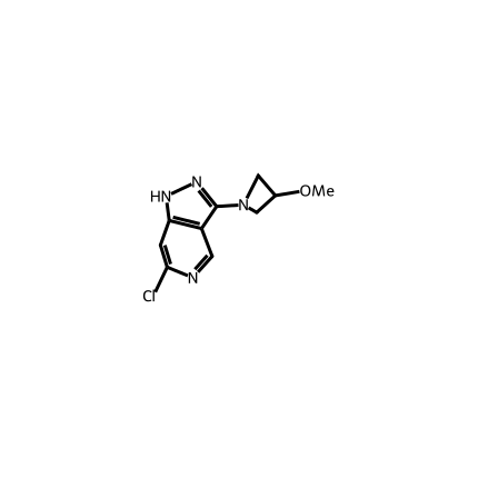 COC1CN(c2n[nH]c3cc(Cl)ncc23)C1